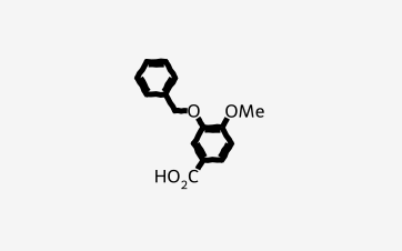 COc1ccc(C(=O)O)cc1OCc1ccccc1